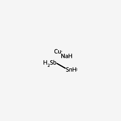 [Cu].[NaH].[SnH][SbH2]